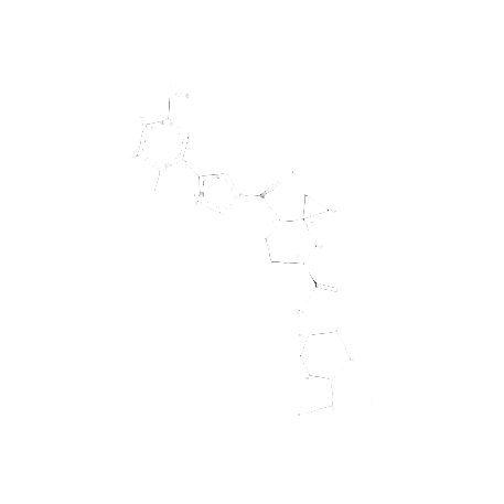 COc1cc(-c2cc(C(=O)N3CC[C@H](C(=O)N[C@H]4CC[C@@](CO)(C(F)(F)F)CC4)CC34CC4)n[nH]2)c(F)cn1